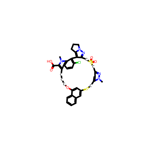 Cn1nc2cc1CSc1cc(c3ccccc3c1)OCCCc1c(C(=O)O)n(C)c3c(c(Cl)ccc13)-c1c(nn3c1CCC3)CS(=O)(=O)C2